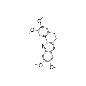 COc1cc2c(cc1OC)-c1nc3cc(OC)c(OC)cc3cc1CC2